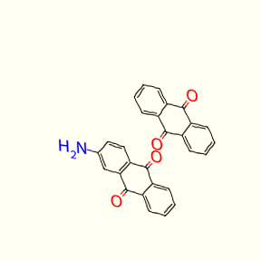 Nc1ccc2c(c1)C(=O)c1ccccc1C2=O.O=C1c2ccccc2C(=O)c2ccccc21